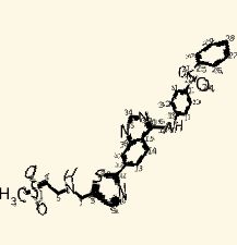 CS(=O)(=O)CCNCc1cnc(-c2ccc3c(Nc4ccc(S(=O)(=O)c5ccccc5)cc4)ncnc3c2)s1